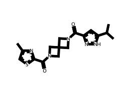 Cc1csc(C(=O)N2CC3(CN(C(=O)c4cc(C(C)C)[nH]n4)C3)C2)n1